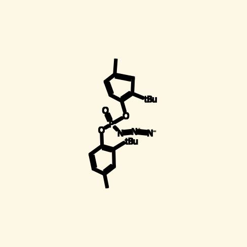 Cc1ccc(OP(=O)(N=[N+]=[N-])Oc2ccc(C)cc2C(C)(C)C)c(C(C)(C)C)c1